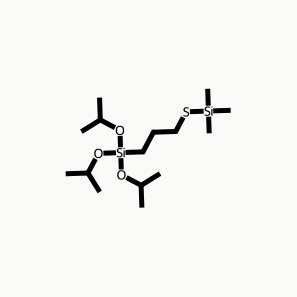 CC(C)O[Si](CCCS[Si](C)(C)C)(OC(C)C)OC(C)C